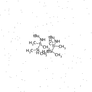 C[SiH](C)[Ti]([CH3])([CH3])[NH]C(C)(C)C.C[SiH](C)[Ti]([CH3])([CH3])[NH]C(C)(C)C